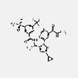 CNC(=O)c1cc(-n2nc(C3CC3)nc2[C@H](C)NC(=O)c2cc(C(F)(F)F)cc(S(C)(=O)=O)c2)ncn1